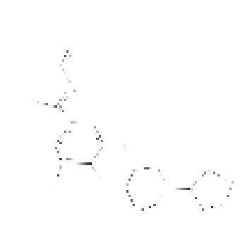 N#Cc1cc(/C(N)=N/C=N)ccc1O[C@H]1CCN(C2CCOC2)C[C@H]1F